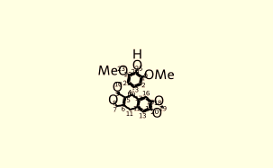 COc1cc([C@H]2C3=C(COC3=O)Cc3cc4c(cc32)OCO4)cc(OC)c1O